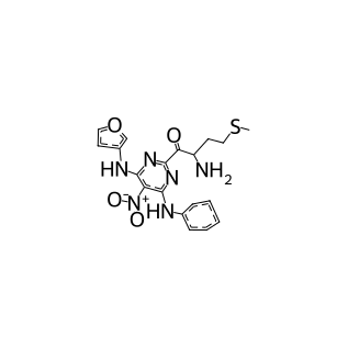 CSCCC(N)C(=O)c1nc(Nc2ccccc2)c([N+](=O)[O-])c(Nc2ccoc2)n1